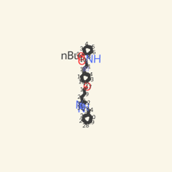 CCCCOc1ccccc1NC(=O)/C=C/c1ccc(OCCCc2cn(Cc3ccccc3)nn2)cc1